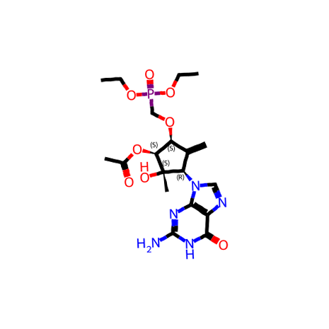 C=C1[C@H](OCP(=O)(OCC)OCC)[C@H](OC(C)=O)[C@@](C)(O)[C@@H]1n1cnc2c(=O)[nH]c(N)nc21